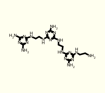 NCCNc1nc(N)nc(NCCNc2nc(N)nc(NCCNc3nc(N)nc(N)n3)n2)n1